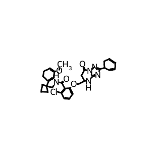 COC1=CCCC(C2(CNC(=O)c3c(Cl)cccc3OCC3CC(=O)n4nc(C5C=CC=CC5)nc4N3)CCC2)=C1